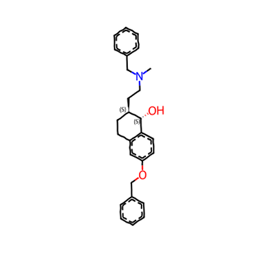 CN(CC[C@@H]1CCc2cc(OCc3ccccc3)ccc2[C@H]1O)Cc1ccccc1